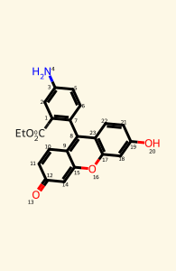 CCOC(=O)c1cc(N)ccc1-c1c2ccc(=O)cc-2oc2cc(O)ccc12